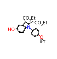 CCOC(=O)Cc1c(C(=O)OCC)c2cc(O)ccc2n1-c1ccc(OC(C)C)cc1